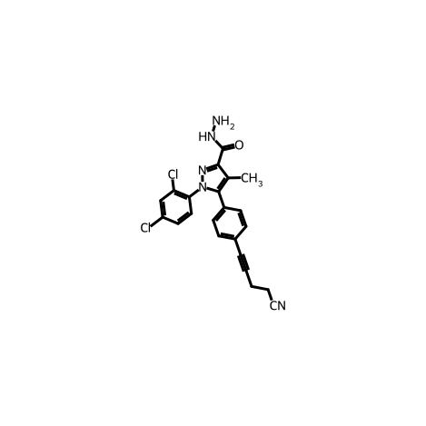 Cc1c(C(=O)NN)nn(-c2ccc(Cl)cc2Cl)c1-c1ccc(C#CCCC#N)cc1